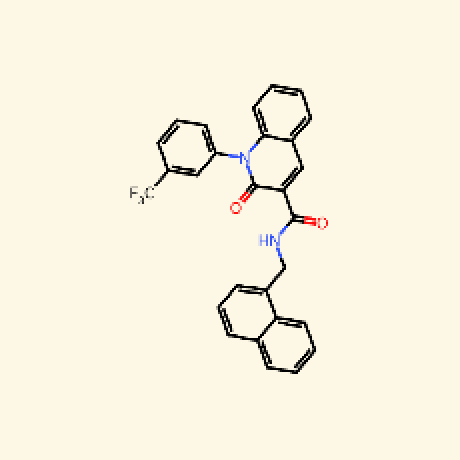 O=C(NCc1cccc2ccccc12)c1cc2ccccc2n(-c2cccc(C(F)(F)F)c2)c1=O